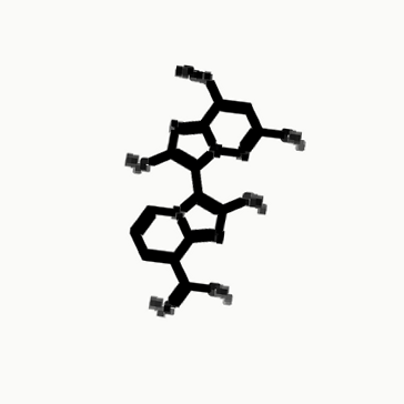 C=C(C)c1cccn2c(-c3c(C)nc4c(CCCCC)cc(C)nn34)c(C)nc12